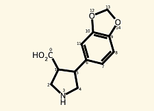 O=C(O)C1CNCC1c1ccc2c(c1)OCO2